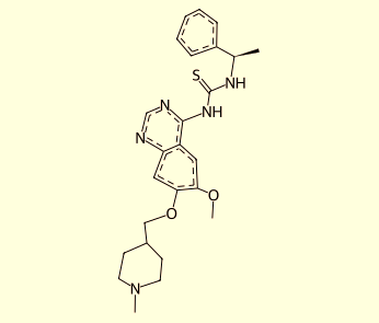 COc1cc2c(NC(=S)N[C@H](C)c3ccccc3)ncnc2cc1OCC1CCN(C)CC1